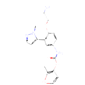 Cc1occc1OC(=O)Nc1ccc(OCCN)c(-c2ccnn2C)c1